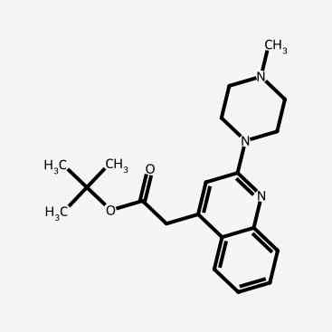 CN1CCN(c2cc(CC(=O)OC(C)(C)C)c3ccccc3n2)CC1